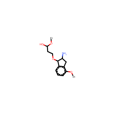 CCOc1cccc2c1CC(N)C2OCCC(O)OCC